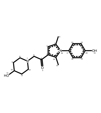 Cc1cc(C(=O)CN2CCC(O)CC2)c(C)n1-c1ccc(O)cc1